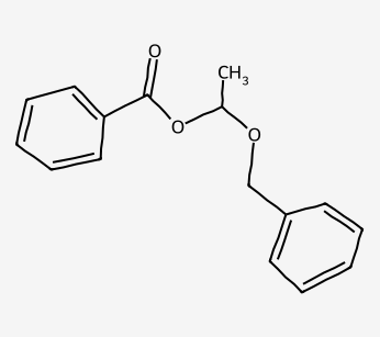 CC(OCc1ccccc1)OC(=O)c1ccccc1